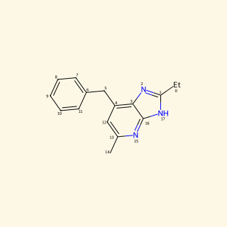 CCc1nc2c(Cc3ccccc3)cc(C)nc2[nH]1